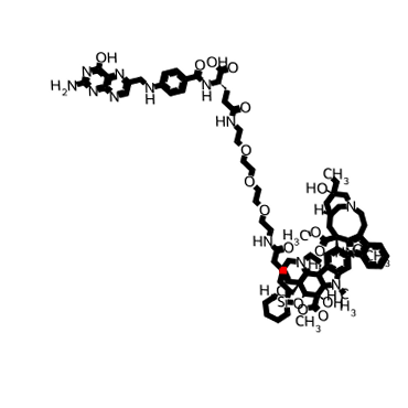 CC[C@]1(O)C[C@@H]2CN(CCc3c([nH]c4ccccc34)[C@@](C(=O)OC)(c3cc4c(cc3OC)N(C)[C@H]3[C@@](O)(C(=O)OC)[C@H](O[Si]5(CCCCC(=O)NCCOCCOCCOCCNC(=O)CC[C@H](NC(=O)c6ccc(NCc7cnc8nc(N)nc(O)c8n7)cc6)C(=O)O)CCCCC5)[C@]5(CC)C=CCN6CC[C@]43[C@@H]65)C2)C1